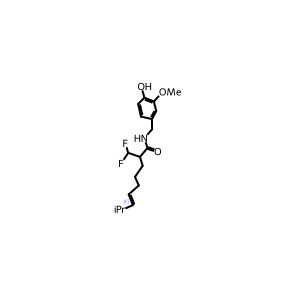 COc1cc(CNC(=O)C(CCC/C=C/C(C)C)C(F)F)ccc1O